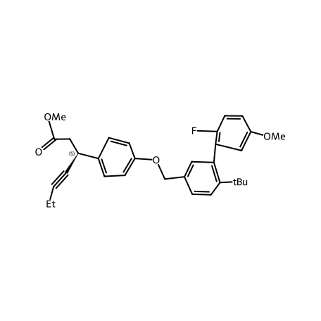 CCC#C[C@@H](CC(=O)OC)c1ccc(OCc2ccc(C(C)(C)C)c(-c3cc(OC)ccc3F)c2)cc1